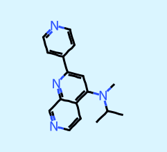 CC(C)N(C)c1cc(-c2ccncc2)nc2cnccc12